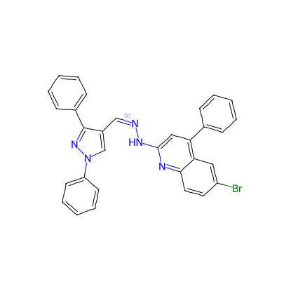 Brc1ccc2nc(N/N=C\c3cn(-c4ccccc4)nc3-c3ccccc3)cc(-c3ccccc3)c2c1